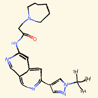 [2H]C([2H])([2H])n1cc(-c2cc3cc(NC(=O)CN4CCCCC4)ncc3cn2)cn1